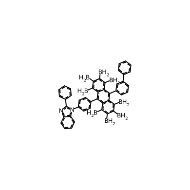 Bc1c(B)c(B)c2c(-c3cccc(-c4ccccc4)c3)c3c(B)c(B)c(B)c(B)c3c(-c3ccc(-n4c(-c5ccccc5)nc5ccccc54)cc3)c2c1B